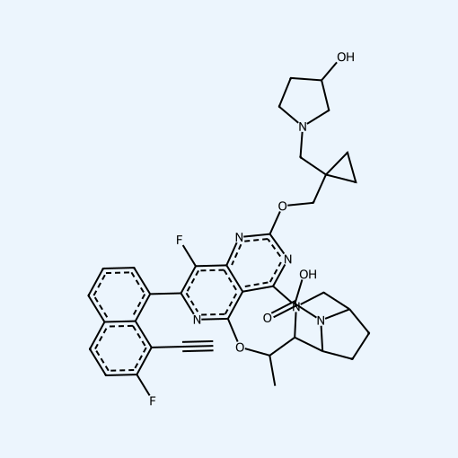 C#Cc1c(F)ccc2cccc(-c3nc4c5c(nc(OCC6(CN7CCC(O)C7)CC6)nc5c3F)N3CC5CCC(C3C(C)O4)N5C(=O)O)c12